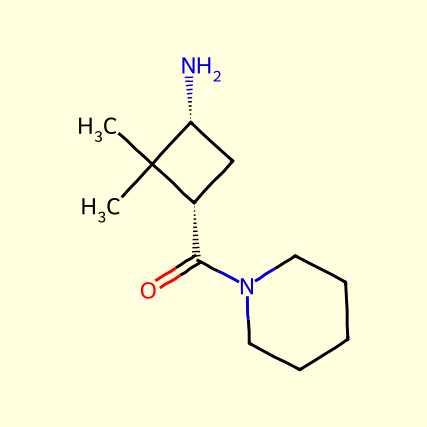 CC1(C)[C@H](N)C[C@@H]1C(=O)N1CCCCC1